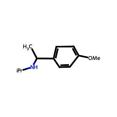 COc1ccc(C(C)NC(C)C)cc1